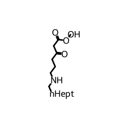 CCCCCCCCNCCCC(=O)CC(=O)OO